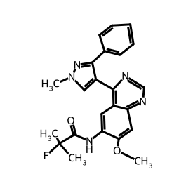 COc1cc2ncnc(-c3cn(C)nc3-c3ccccc3)c2cc1NC(=O)C(C)(C)F